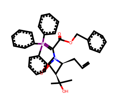 C=CC[C@H]1[C@@H](C(C)(C)O)C(=O)N1C(C(=O)OCc1ccccc1)=P(c1ccccc1)(c1ccccc1)c1ccccc1